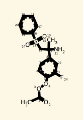 CC(=O)OOc1ccc(C(C)(N)CS(=O)(=O)c2ccccc2)cc1F